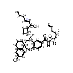 C=CC[C@H](C)CS(=O)(=O)NC(=O)c1ccc2c(c1)N(C[C@@H]1CC[C@H]1[C@H](O)/C=C/CCC)C[C@@]1(CCCc3cc(Cl)ccc31)CO2